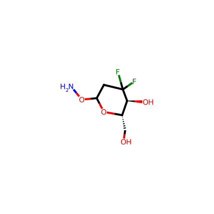 NOC1CC(F)(F)[C@@H](O)[C@H](CO)O1